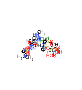 CCNc1nc(Cl)nc(NC(C)C)n1.COC(=O)CSc1cc(/N=c2\sc(=O)n3n2CCCC3)c(F)cc1Cl.COc1cc(OC)nc(NC(=O)NS(=O)(=O)c2ncccc2C(=O)N(C)C)n1.C[S+](C)C.O=C(O)CNCP(=O)([O-])O